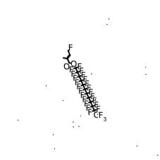 CC(=CCF)C(=O)OC(F)(F)C(F)(F)C(F)(F)C(F)(F)C(F)(F)C(F)(F)C(F)(F)C(F)(F)C(F)(F)C(F)(F)C(F)(F)C(F)(F)F